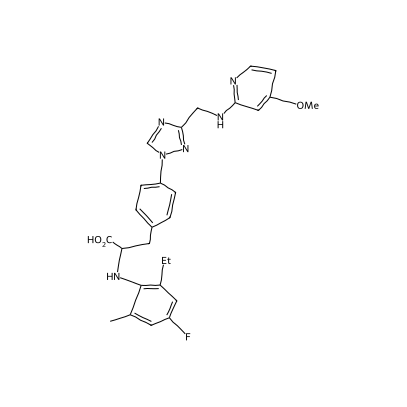 CCc1cc(F)cc(C)c1NC(Cc1ccc(-n2cnc(CNc3cc(OC)ccn3)n2)cc1)C(=O)O